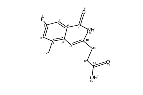 Cc1cc(F)cc2c(=O)[nH]c(CCC(=O)O)cc12